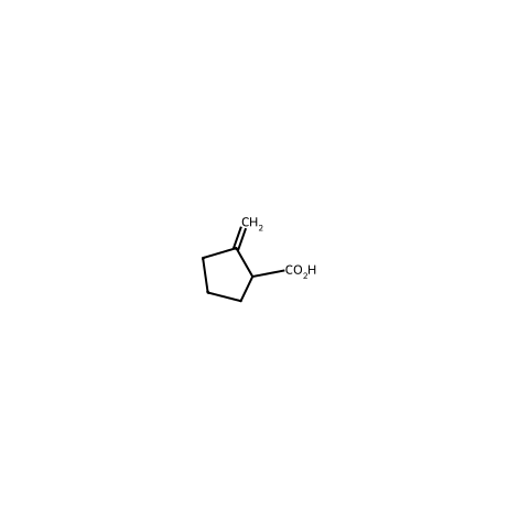 C=C1CCCC1C(=O)O